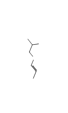 [CH2]C(Cl)COC=CC